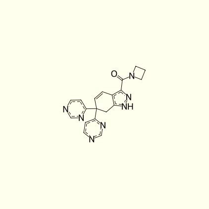 O=C(c1n[nH]c2c1C=CC(c1ccncn1)(c1ccncn1)C2)N1CCC1